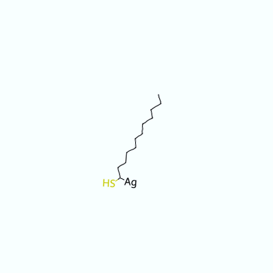 CCCCCCCCCCC[CH](S)[Ag]